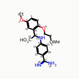 CCOc1ccc(OCCOC)c(C(Nc2ccc(C(=N)N)cc2)C(=O)O)c1